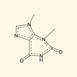 Cn1cnc2c(=O)[nH]c(=O)n(C)c21